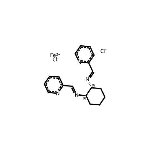 C(=N[C@@H]1CCCC[C@H]1N=Cc1ccccn1)c1ccccn1.[Cl-].[Cl-].[Fe+2]